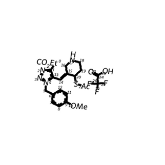 CCOC(=O)c1nnn(Cc2ccc(OC)cc2)c1/C=C1\CNCCC1SC(C)=O.O=C(O)C(F)(F)F